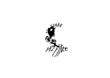 COC(=O)[C@H](S)CCS(=O)(=O)c1ccc(OC)cc1